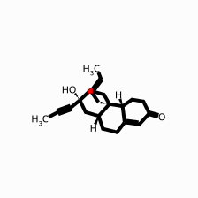 CC#C[C@@]1(O)CC[C@]2(C/C=C/C)[C@H](CCC3=CC(=O)CC[C@H]32)C1